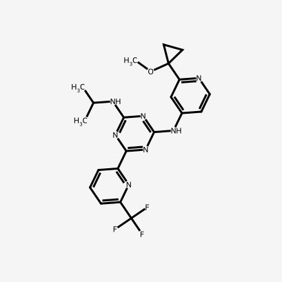 COC1(c2cc(Nc3nc(NC(C)C)nc(-c4cccc(C(F)(F)F)n4)n3)ccn2)CC1